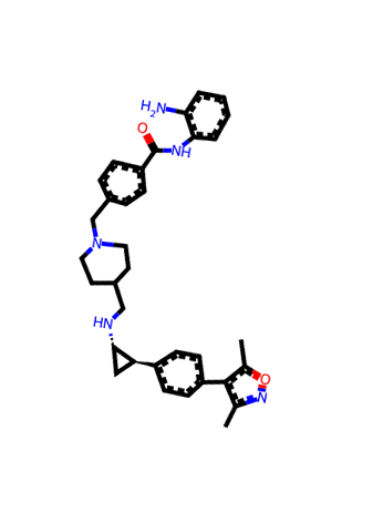 Cc1noc(C)c1-c1ccc([C@H]2C[C@@H]2NCC2CCN(Cc3ccc(C(=O)Nc4ccccc4N)cc3)CC2)cc1